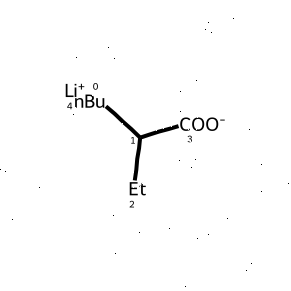 CCCCC(CC)C(=O)[O-].[Li+]